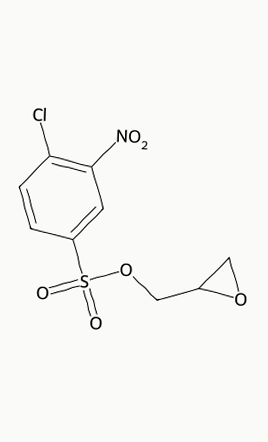 O=[N+]([O-])c1cc(S(=O)(=O)OCC2CO2)ccc1Cl